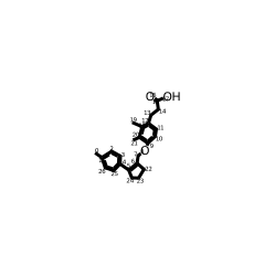 Cc1ccc(C2=C(COc3ccc(CCC(=O)O)c(C)c3C)CCC2)cc1